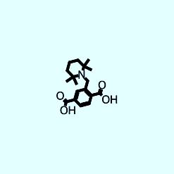 CC1(C)CCCC(C)(C)N1Cc1cc(C(=O)O)ccc1C(=O)O